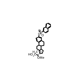 COC(C(=O)O)[C@H]1CCC2C3CCc4cc(OS(=O)(=O)c5ccc6ccccc6c5)ccc4C3CC[C@@]21C